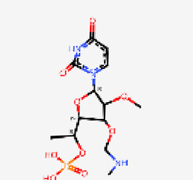 CNCOC1C(OC)[C@H](n2ccc(=O)[nH]c2=O)O[C@@H]1[C@H](C)OP(=O)(O)O